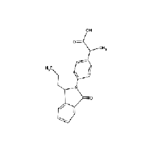 CCCC1c2ccccc2C(=O)N1c1ccc(C(C)C(=O)O)cc1